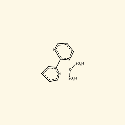 O=S(=O)(O)OS(=O)(=O)O.c1ccc(-c2ccccn2)nc1